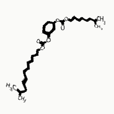 CC(C)CCCCCCCCCCOC(=O)OC1CCCC(OC(=O)OCCCCCCC(C)C)C1